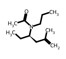 C=C(C)C[C@@H](CC)N(CCC)C(C)=O